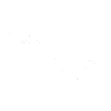 CCn1c(-c2cc(N3CCN(C4CC4)CC3)cnc2C(C)OC)c(CC(C)(C)COC(C)=O)c2cc(-c3cccc(CC(NC(=O)OC(C)(C)C)C(=O)N4CCC[C@@H](C(=O)O)N4)c3)ccc21